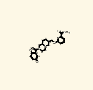 COC(=O)c1cccc(OCC2CCC3CN(c4noc5ccc(F)cc45)CCN3C2)n1